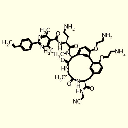 C=Cc1ccc(-c2nc(C)c(C(=O)N[C@@H](CCN)C(=O)N(C)[C@@H]3C(=O)N[C@@H](C)C(=O)N[C@H](C(=O)NCC#N)Cc4ccc(OCCN)c(c4)-c4cc3ccc4OCCN)c(C)n2)cc1